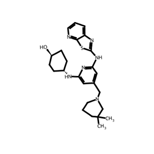 CC1(C)CCCN(Cc2cc(Nc3nc4cccnc4s3)nc(N[C@H]3CC[C@H](O)CC3)c2)C1